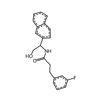 O=C(CCc1cccc(F)c1)NC(CO)c1ccc2ccccc2c1